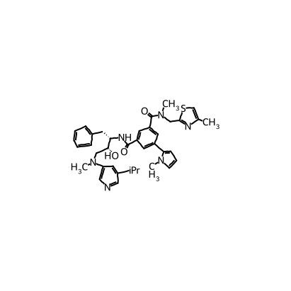 Cc1csc(CN(C)C(=O)c2cc(C(=O)N[C@@H](Cc3ccccc3)[C@H](O)CN(C)c3cncc(C(C)C)c3)cc(-c3cccn3C)c2)n1